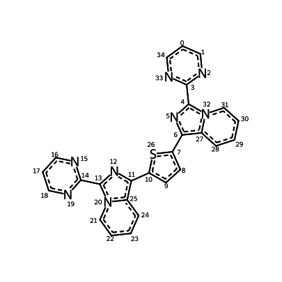 c1cnc(-c2nc(-c3ccc(-c4nc(-c5ncccn5)n5ccccc45)s3)c3ccccn23)nc1